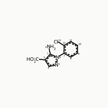 Nc1c(C(=O)O)cnn1-c1ccccc1Cl